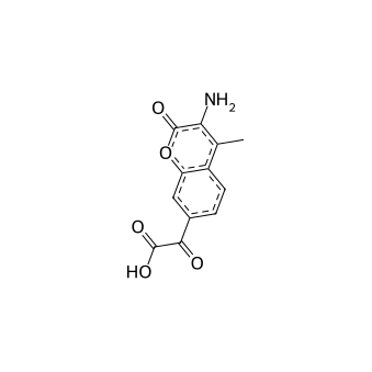 Cc1c(N)c(=O)oc2cc(C(=O)C(=O)O)ccc12